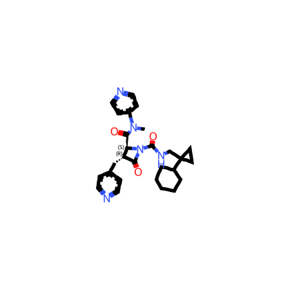 CN(C(=O)[C@@H]1[C@@H](Cc2ccncc2)C(=O)N1C(=O)NCC1(C2CCCCC2)CC1)c1ccncc1